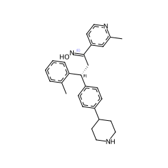 Cc1cc(/C(C[C@H](c2ccc(C3CCNCC3)cc2)c2ccccc2C)=N/O)ccn1